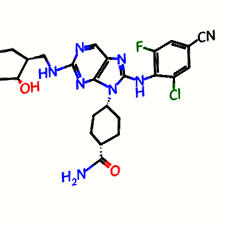 N#Cc1cc(F)c(Nc2nc3cnc(NC[C@@H]4CCCC[C@@H]4O)nc3n2[C@H]2CC[C@@H](C(N)=O)CC2)c(Cl)c1